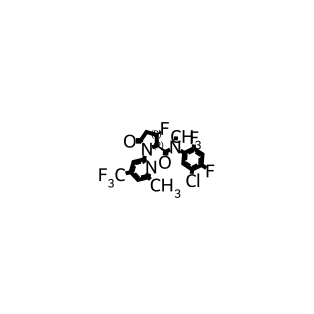 Cc1cc(C(F)(F)F)cc(N2C(=O)C[C@@H](F)[C@H]2C(=O)N(C)c2cc(Cl)c(F)cc2F)n1